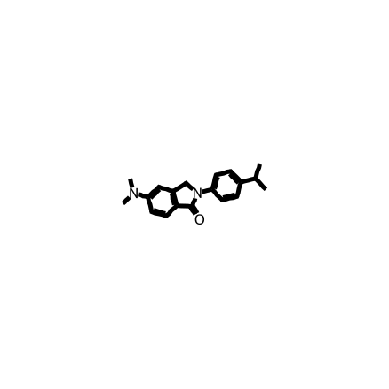 CC(C)c1ccc(N2Cc3cc(N(C)C)ccc3C2=O)cc1